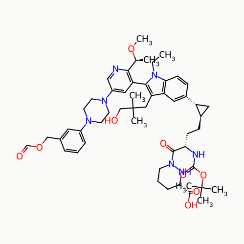 CCn1c(-c2cc(N3CCN(c4cccc(COC=O)c4)CC3)cnc2[C@H](C)OC)c(CC(C)(C)CO)c2cc([C@@H]3C[C@H]3CC[C@H](NC(=O)OC(C)(C)C)C(=O)N3CCC[C@@H](C(=O)O)N3)ccc21